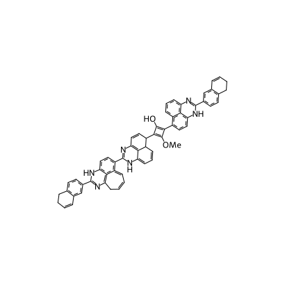 COC1=C(C2C=CC3=C4C(=CC=CC42)NC(c2ccc4c5c2=CC=CCC=5N=C(c2ccc5c(c2)C=CCC5)N4)=N3)C(O)=C1c1ccc2c3c(cccc13)N=C(c1ccc3c(c1)C=CCC3)N2